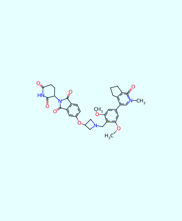 COc1cc(-c2cn(C)c(=O)c3c2CCC3)cc(OC)c1CN1CC(Oc2ccc3c(c2)C(=O)N(C2CCC(=O)NC2=O)C3=O)C1